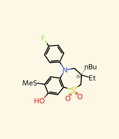 CCCC[C@@]1(CC)CN(c2ccc(F)cc2)c2cc(SC)c(O)cc2S(=O)(=O)C1